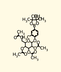 CC(=O)OCC1OC(Oc2ccc(B3OC(C)(C)C(C)(C)O3)cc2C)C(OC(C)=O)C(OC(C)=O)C1OC(C)=O